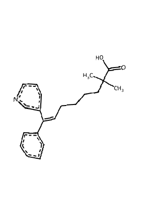 CC(C)(CCCCC=C(c1ccccc1)c1cccnc1)C(=O)O